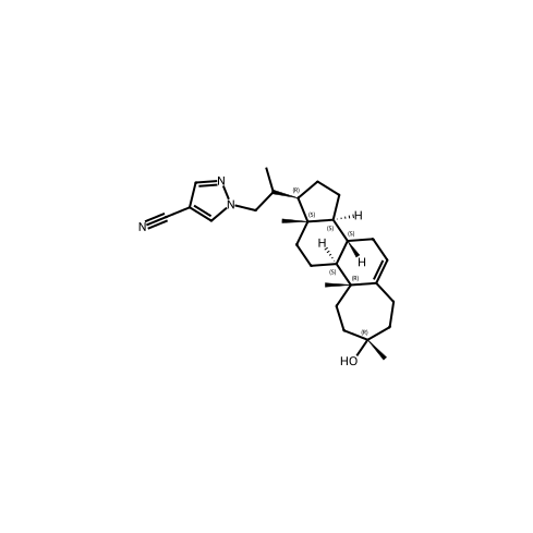 CC(Cn1cc(C#N)cn1)[C@H]1CC[C@H]2[C@@H]3CC=C4CC[C@](C)(O)CC[C@]4(C)[C@H]3CC[C@]12C